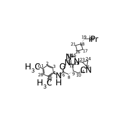 Cc1ccc(NC(=O)C[C@@H](CC#N)c2nnc([C@H]3C[C@@H](CC(C)C)C3)n2C2CC2)c(C)c1